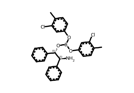 Cc1ccc(OB(Oc2ccc(C)c(Cl)c2)O[C@@H](c2ccccc2)[C@@H](N)c2ccccc2)cc1Cl